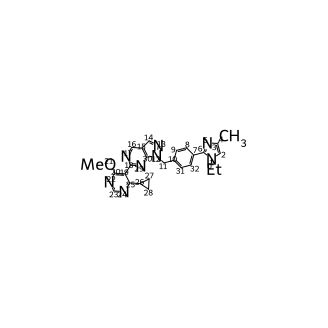 CCn1cc(C)nc1-c1ccc(Cn2ncc3cnc(-c4c(OC)ncnc4C4CC4)nc32)cc1